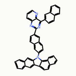 c1ccc2cc(-c3nc(-c4ccc5cc(-n6c7cc8ccccc8cc7c7ccc8ccccc8c76)ccc5c4)nc4cccnc34)ccc2c1